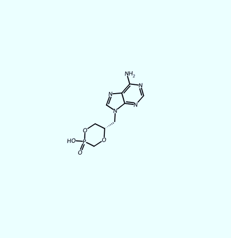 Nc1ncnc2c1ncn2C[C@H]1COP(=O)(O)CO1